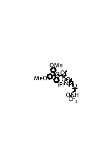 COc1ccc(C(OCC2OC(C)CC2OP(OC(C)(C)CCOC(C)(C)CCNC(=O)C(F)(F)F)N(C(C)C)C(C)C)(c2ccccc2)c2ccc(OC)cc2)cc1